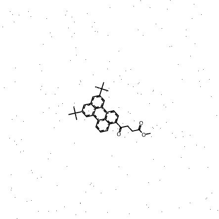 COC(=O)CCC(=O)c1ccc2c3cc(C(C)(C)C)cc4cc(C(C)(C)C)cc(c5cccc1c52)c43